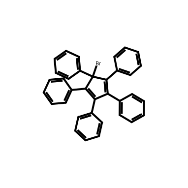 BrC1(c2ccccc2)C(c2ccccc2)=C(c2ccccc2)C(c2ccccc2)=C1c1ccccc1